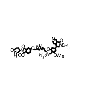 COc1cc(-c2cn(C)c(=O)c3cnccc23)cc(OC)c1CN(C)CCCn1cc(COc2ccc3c(c2)C(=O)N(C2CCC(=O)NC2=O)C3=O)nn1